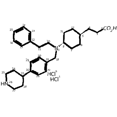 Cl.Cl.O=C(O)CC[C@H]1CC[C@H](N(CCc2ccccc2)Cc2ccc(C3CCNCC3)cc2)CC1